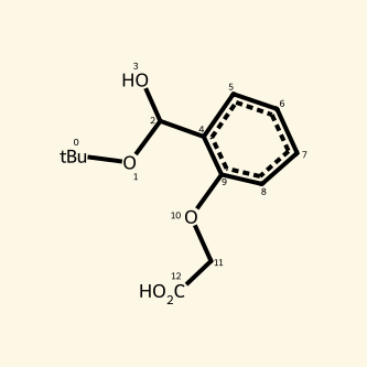 CC(C)(C)OC(O)c1ccccc1OCC(=O)O